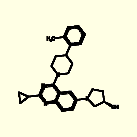 Cc1ccccc1C1CCN(c2nc(C3CC3)nc3ccc(N4CC[C@@H](O)C4)cc23)CC1